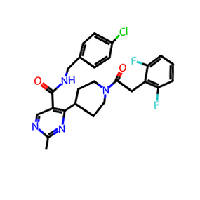 Cc1ncc(C(=O)NCc2ccc(Cl)cc2)c(C2CCN(C(=O)Cc3c(F)cccc3F)CC2)n1